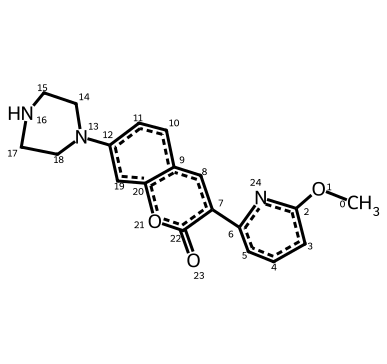 COc1cccc(-c2cc3ccc(N4CCNCC4)cc3oc2=O)n1